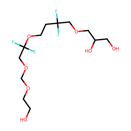 OCCOCOCC(F)(F)OCCC(F)(F)COCC(O)CO